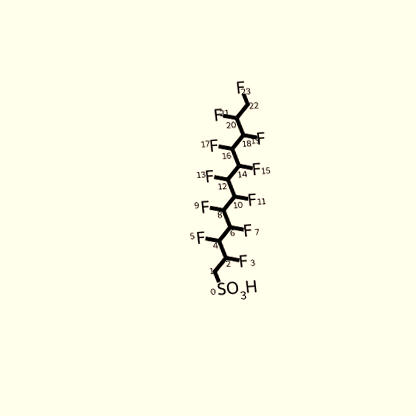 O=S(=O)(O)CC(F)C(F)C(F)C(F)C(F)C(F)C(F)C(F)C(F)C(F)CF